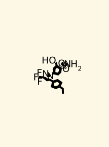 CCc1ccc(-c2cc(C(F)(F)F)nn2-c2ccc(S(N)(=O)=O)c(CO)c2)cc1